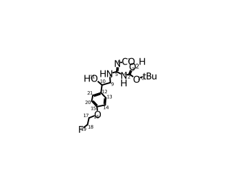 CC(C)(C)OC(=O)N/C(=N\C(=O)O)NCC(O)c1ccc(OCCF)cc1